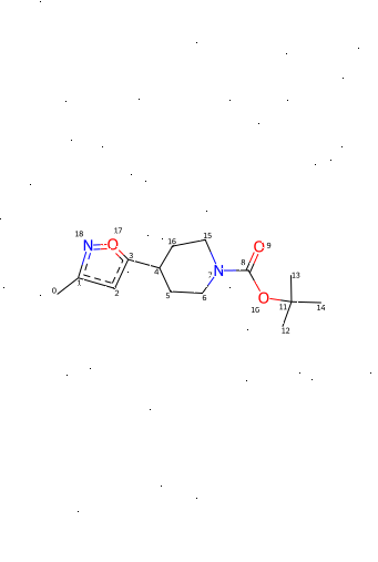 Cc1cc(C2CCN(C(=O)OC(C)(C)C)CC2)on1